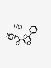 Cl.O=C(Cn1ccnc1)C1=COC=C(C2=CC=CCC2)O1